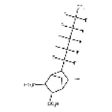 O=C(O)C1C2CC(C1C(=O)O)C(C(F)(F)C(F)(F)C(F)(F)C(F)(F)C(F)(F)C(F)(F)F)C2I